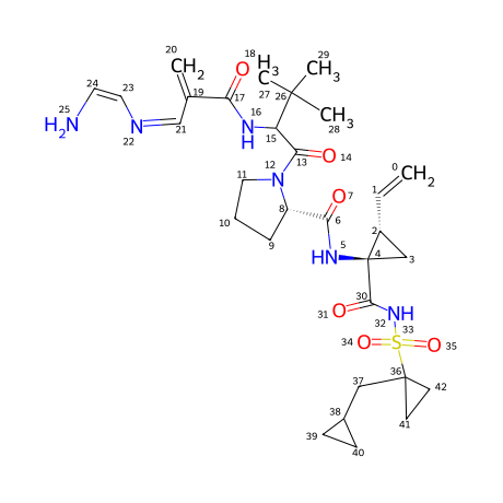 C=C[C@@H]1C[C@]1(NC(=O)[C@@H]1CCCN1C(=O)C(NC(=O)C(=C)/C=N\C=C/N)C(C)(C)C)C(=O)NS(=O)(=O)C1(CC2CC2)CC1